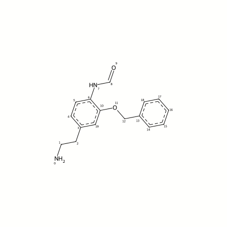 NCCc1ccc(NC=O)c(OCc2ccccc2)c1